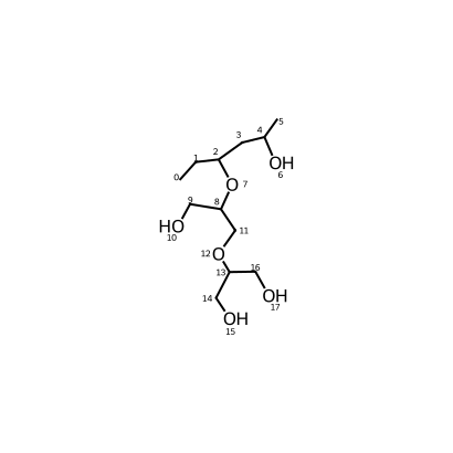 CCC(CC(C)O)OC(CO)COC(CO)CO